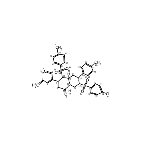 C=C/C=C(\C=C)C1CC(=O)[C@@H]2CC(S(=O)(=O)c3ccc(Cl)cc3)C(c3ccc(C)cc3)C[C@@H]2C1S(=O)(=O)c1ccc(C)cc1